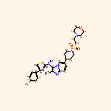 CCc1nc2ccc(C3CCN(S(=O)(=O)CCN4CCOCC4)CC3)cn2c1N(C)c1nc(-c2ccc(F)cc2)cs1